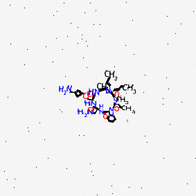 CCCC[C@H]1C(=O)N(C)[C@@H](CCC)C(=O)N[C@@H](C2CCCCC2)C(=O)N[C@@H](CN)C(=O)N[C@@H](CO[C@H]2C[C@H](CN)C2)C(=O)N[C@H](C)CN1CCCC